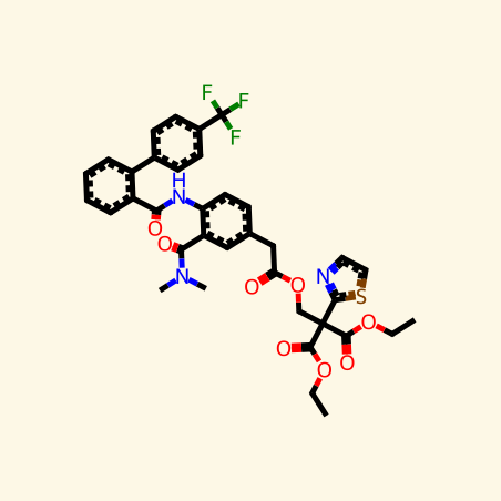 CCOC(=O)C(COC(=O)Cc1ccc(NC(=O)c2ccccc2-c2ccc(C(F)(F)F)cc2)c(C(=O)N(C)C)c1)(C(=O)OCC)c1nccs1